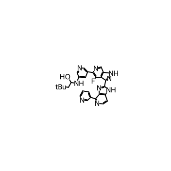 CC(C)(C)CC(O)Nc1cncc(-c2ncc3[nH]nc(-c4nc5c(-c6cccnc6)nccc5[nH]4)c3c2F)c1